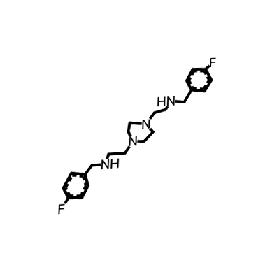 Fc1ccc(CNCCN2CCN(CCNCc3ccc(F)cc3)CC2)cc1